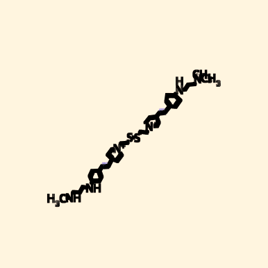 CNCCCNc1ccc(/C=C/c2cc[n+](CCSSCC[n+]3ccc(/C=C/c4ccc(NCCCN(C)C)cc4)cc3)cc2)cc1